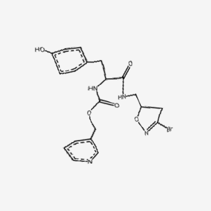 O=C(NC(Cc1ccc(O)cc1)C(=O)NCC1CC(Br)=NO1)OCc1cccnc1